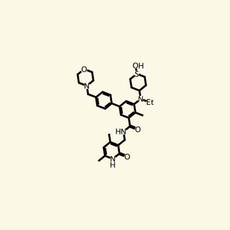 CCN(c1cc(-c2ccc(CN3CCOCC3)cc2)cc(C(=O)NCc2c(C)cc(C)[nH]c2=O)c1C)C1CC[S](O)CC1